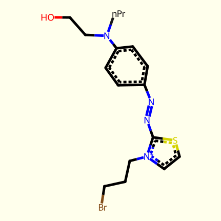 CCCN(CCO)c1ccc(N=Nc2scc[n+]2CCCBr)cc1